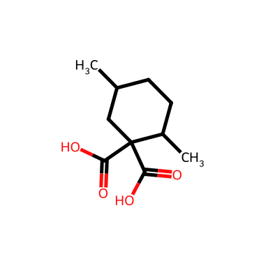 CC1CCC(C)C(C(=O)O)(C(=O)O)C1